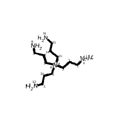 CC(=O)NCCC[N+](CCCN)(CCCN)CCCN